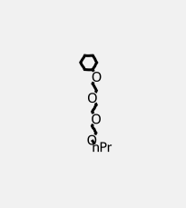 CCCOCCOCCOCCOC1CCCCC1